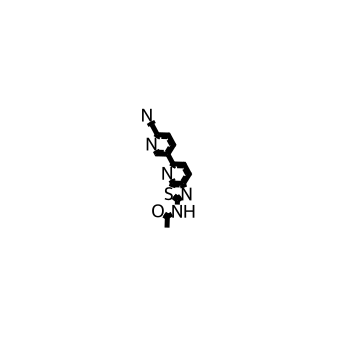 CC(=O)Nc1nc2ccc(-c3ccc(C#N)nc3)nc2s1